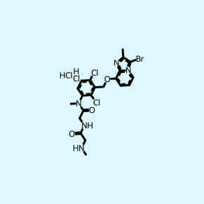 CNCC(=O)NCC(=O)N(C)c1ccc(Cl)c(COc2cccn3c(Br)c(C)nc23)c1Cl.Cl.Cl